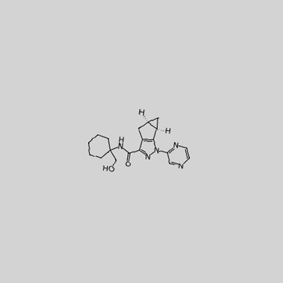 O=C(NC1(CO)CCCCC1)c1nn(-c2cnccn2)c2c1C[C@H]1C[C@@H]21